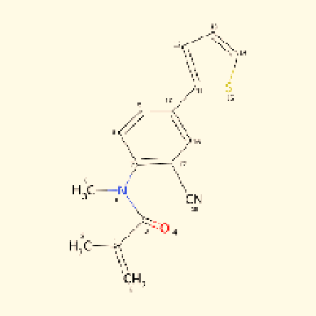 C=C(C)C(=O)N(C)c1ccc(-c2cccs2)cc1C#N